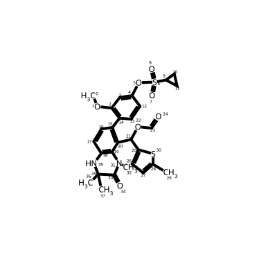 COc1cc(OS(=O)(=O)C2CC2)ccc1-c1ccc2c(c1C(OC=O)c1ccc(C)s1)N(C)C(=O)C(C)(C)N2